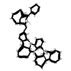 c1ccc(-c2oc(-c3ccc4c5cccc6c5n(c4c3)-c3cccc4c3B6c3cccc5c6ccccc6n-4c35)c3ccccc23)cc1